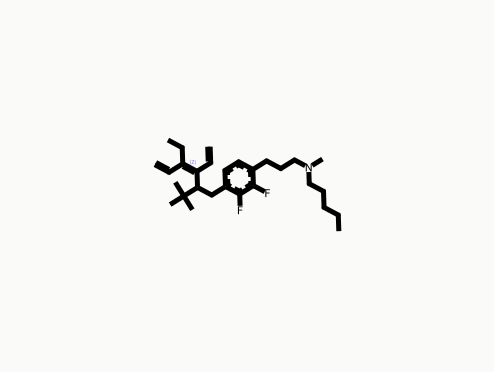 C=C/C(CC)=C(/C=C)C(Cc1ccc(CCCN(C)CCCCC)c(F)c1F)C(C)(C)C